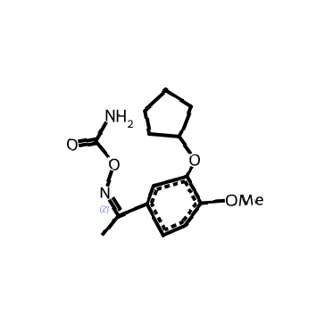 COc1ccc(/C(C)=N\OC(N)=O)cc1OC1CCCC1